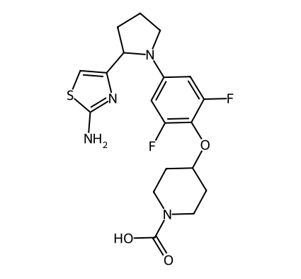 Nc1nc(C2CCCN2c2cc(F)c(OC3CCN(C(=O)O)CC3)c(F)c2)cs1